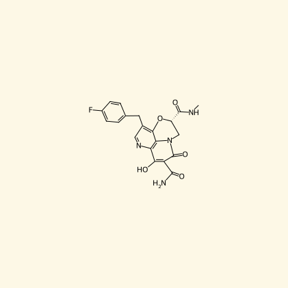 CNC(=O)[C@@H]1Cn2c(=O)c(C(N)=O)c(O)c3ncc(Cc4ccc(F)cc4)c(c32)O1